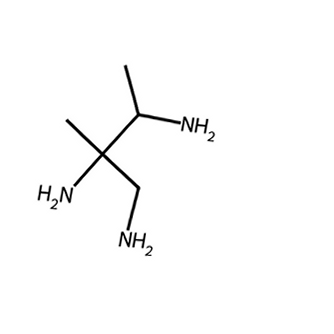 CC(N)C(C)(N)CN